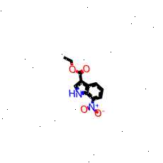 CCOC(=O)c1c[nH]c2c([N+](=O)[O-])cccc12